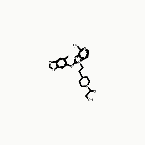 Nc1nccc2c1nc(Sc1cc3c(cc1I)OCO3)n2CCC1CCN(C(=O)CO)CC1